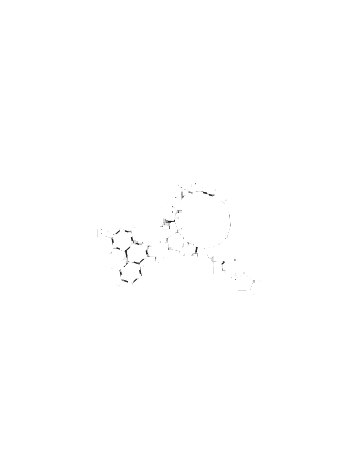 CCOC(=O)[C@@]12C[C@H]1C=CCCCCC[C@H](NC(=O)OC1CCCC1)C(=O)N1C[C@H](Oc3nc4ccc(F)cc4c4ccccc34)C[C@H]1C(=O)N2